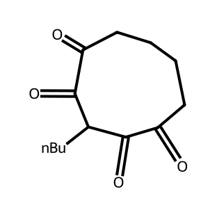 CCCCC1C(=O)C(=O)CCCCC(=O)C1=O